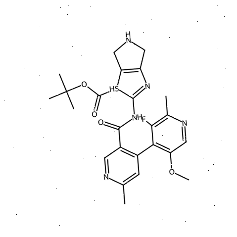 COc1cnc(C)c(F)c1-c1cc(C)ncc1C(=O)NC1=NC2=C(CNC2)[SH]1C(=O)OC(C)(C)C